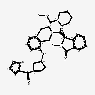 CNC(=O)N1CCCC[C@H]1C(=O)N1CCc2cccc(O[C@H]3CCN(C(=O)c4cncs4)C3)c2[C@H]1CN1C(=O)c2ccccc2C1=O